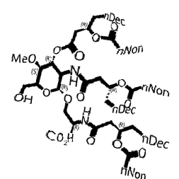 CCCCCCCCCCC[C@H](CC(=O)NC1[C@H](OC[C@@H](NC(=O)C[C@@H](CCCCCCCCCCC)OC(=O)CCCCCCCCC)C(=O)O)OC(CO)[C@@H](OC)[C@@H]1OC(=O)C[C@@H](CCCCCCCCCCC)OC(=O)CCCCCCCCC)OC(=O)CCCCCCCCC